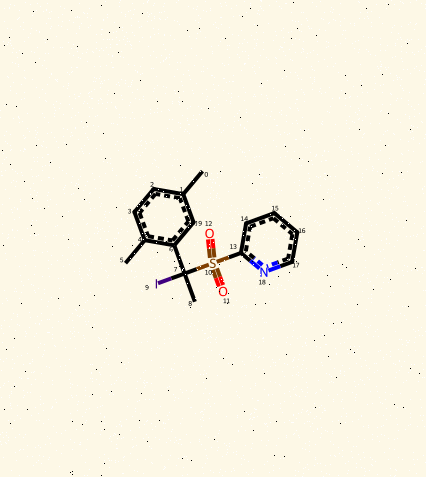 Cc1ccc(C)c(C(C)(I)S(=O)(=O)c2ccccn2)c1